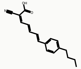 CCCCc1ccc(C=CC=CC=C(C#N)C(=O)O)cc1